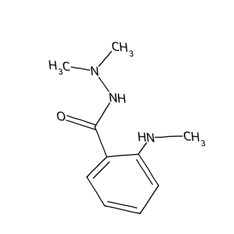 CNc1ccccc1C(=O)NN(C)C